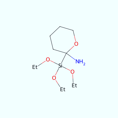 CCO[Si](OCC)(OCC)C1(N)CCCCO1